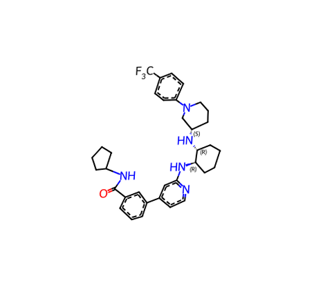 O=C(NC1CCCC1)c1cccc(-c2ccnc(N[C@@H]3CCCC[C@H]3N[C@H]3CCCN(c4ccc(C(F)(F)F)cc4)C3)c2)c1